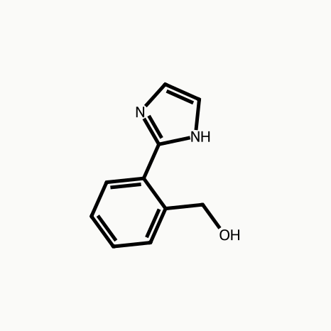 OCc1ccccc1-c1ncc[nH]1